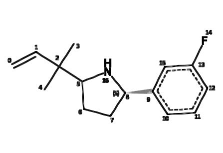 C=CC(C)(C)C1CC[C@@H](c2cccc(F)c2)N1